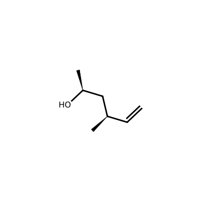 C=C[C@@H](C)C[C@H](C)O